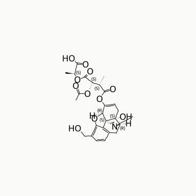 CC(=O)O[C@H](C(=O)O[C@@H](C)C(=O)O)[C@H](C)C(=O)OC1=CC[C@@]2(O)[C@H]3Cc4ccc(CO)c5c4[C@@]2(CCN3C)[C@H]1O5